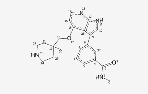 CNC(=O)c1cccc(-c2c[nH]c3nccc(OCC4(C)CCNCC4)c23)c1